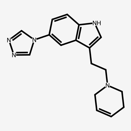 C1=CCN(CCc2c[nH]c3ccc(-n4cnnc4)cc23)CC1